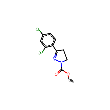 CC(C)(C)OC(=O)N1CCC(c2ccc(Cl)cc2Br)=N1